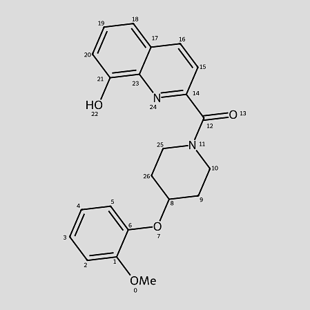 COc1ccccc1OC1CCN(C(=O)c2ccc3cccc(O)c3n2)CC1